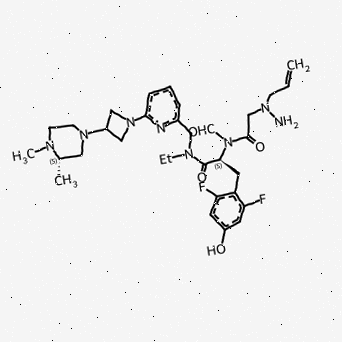 C=CCN(N)CC(=O)N(C=O)[C@@H](Cc1c(F)cc(O)cc1F)C(=O)N(CC)Cc1cccc(N2CC(N3CCN(C)[C@@H](C)C3)C2)n1